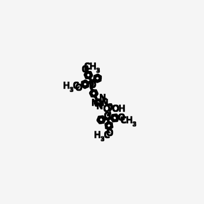 COc1ccc(C(OCc2ccc(-c3ncnc4c3ncn4[C@H]3C[C@H](O)[C@@H](COC(c4ccccc4)(c4ccc(OC)cc4)c4ccc(OC)cc4)O3)cc2)(c2ccccc2)c2ccc(OC)cc2)cc1